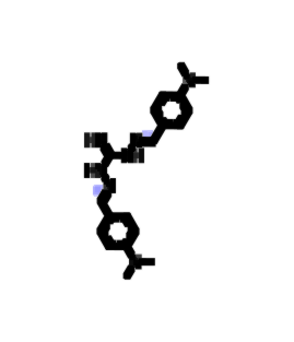 CN(C)c1ccc(/C=N/NC(=N)N/N=C/c2ccc(N(C)C)cc2)cc1